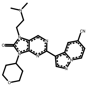 CN(C)CCn1c(=O)n(C2CCOCC2)c2nc(-c3cnn4ccc(C#N)cc34)ncc21